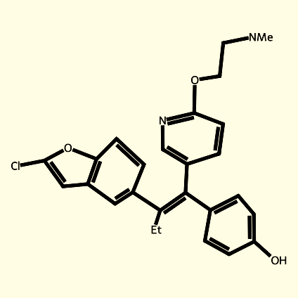 CCC(=C(c1ccc(O)cc1)c1ccc(OCCNC)nc1)c1ccc2oc(Cl)cc2c1